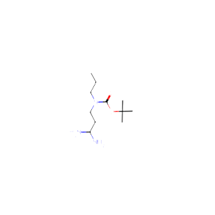 CCCN(CCC(N)N)C(=O)OC(C)(C)C